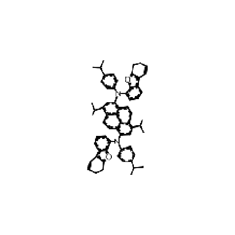 CC(C)c1ccc(N(c2cc(C(C)C)c3ccc4c(N(c5ccc(C(C)C)cc5)c5cccc6c7c(oc56)CCC=C7)cc(C(C)C)c5ccc2c3c54)c2cccc3c4c(oc23)CCC=C4)cc1